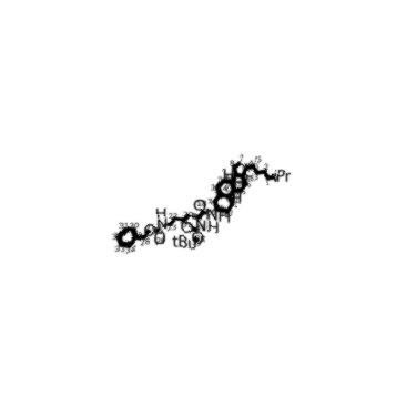 CC(C)CCC[C@@H](C)[C@H]1CC[C@H]2[C@@H]3CCC4C[C@H](NC(=O)[C@H](CCCCNC(=O)OCc5ccccc5)NC(=O)OC(C)(C)C)CC[C@]4(C)[C@H]3CC[C@]12C